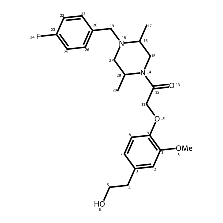 COc1cc(CCO)ccc1OCC(=O)N1CC(C)N(Cc2ccc(F)cc2)CC1C